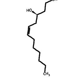 CCCCCC/C=C\C[C@@H](O)CCO